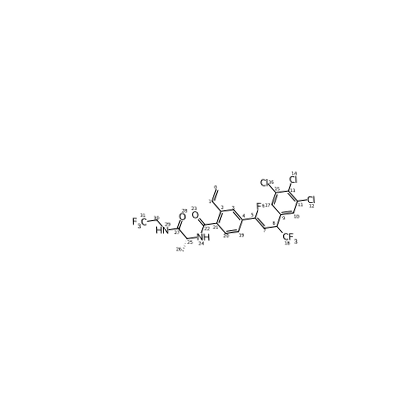 C=Cc1cc(/C(F)=C/C(c2cc(Cl)c(Cl)c(Cl)c2)C(F)(F)F)ccc1C(=O)N[C@H](C)C(=O)NCC(F)(F)F